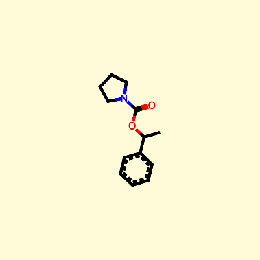 CC(OC(=O)N1CCCC1)c1ccccc1